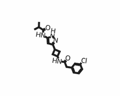 CC(C)C(=O)Nc1cc(C2CC(NC(=O)Cc3cccc(Cl)c3)C2)n[nH]1